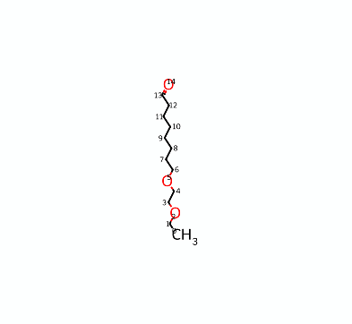 CCOCCOCCCCCCCC=O